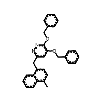 Cc1ccc(Cc2cc(OCc3ccccc3)c(OCc3ccccc3)nn2)c2ccccc12